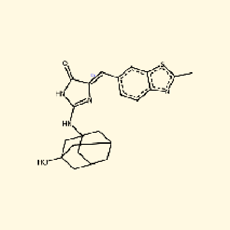 Cc1nc2ccc(/C=C3\N=C(NC45CC6CC(CC(O)(C6)C4)C5)NC3=O)cc2s1